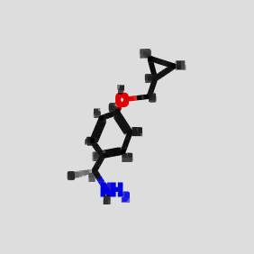 C[C@@H](N)c1ccc(OCC2CC2)cc1